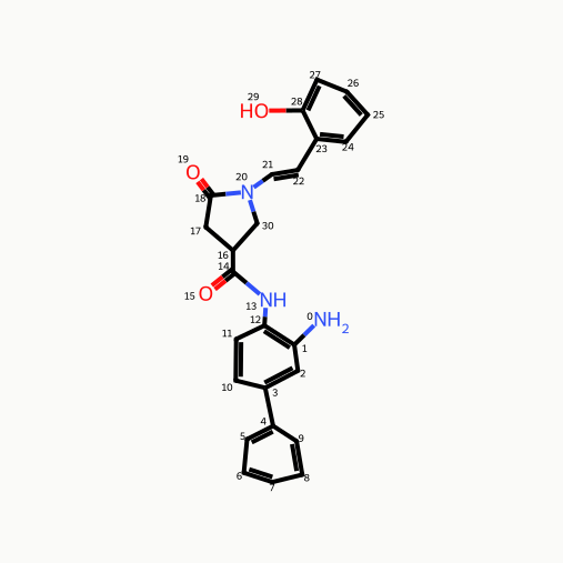 Nc1cc(-c2ccccc2)ccc1NC(=O)C1CC(=O)N(C=Cc2ccccc2O)C1